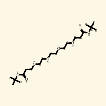 CC(C)(C)OC(=O)CCOCCOCCOCCOCCC(=O)OC(C)(C)C